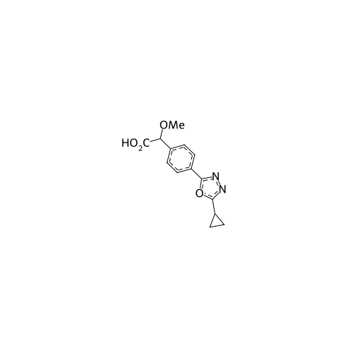 COC(C(=O)O)c1ccc(-c2nnc(C3CC3)o2)cc1